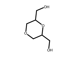 OCC1COCC(CO)O1